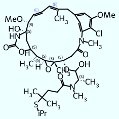 COc1cc2cc(c1Cl)N(C)C(=O)C[C@H](OC(O)[C@H](C)N(C)C(=O)CCC(C)(C)SC(C)C)[C@]1(C)O[C@H]1[C@H](C)[C@@H]1C[C@@](O)(NC(=O)O1)[C@H](OC)/C=C/C=C(\C)C2